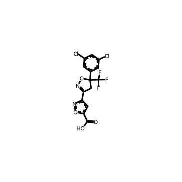 O=C(O)c1cc(C2=NOC(c3cc(Cl)cc(Cl)c3)(C(F)(F)F)C2)no1